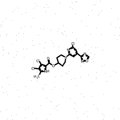 Cc1[nH]c(C(=O)OC2CCN(c3cc(-c4ncon4)cc(Cl)n3)CC2)c(Cl)c1Cl